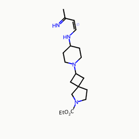 CCOC(=O)N1CCC2(CC(N3CCC(N/C=C\C(C)=N)CC3)C2)C1